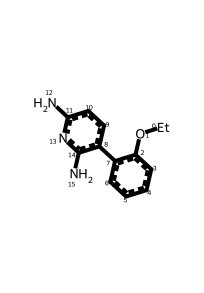 CCOc1ccccc1-c1ccc(N)nc1N